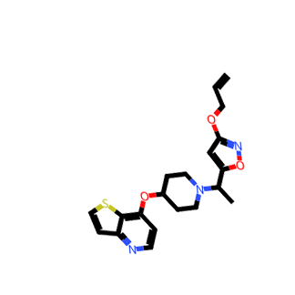 C=CCOc1cc(C(C)N2CCC(Oc3ccnc4ccsc34)CC2)on1